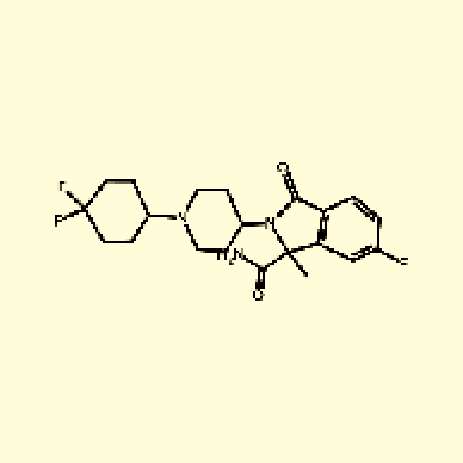 CC1(C(N)=O)c2cc(F)ccc2C(=O)N1C1CCN(C2CCC(F)(F)CC2)CC1